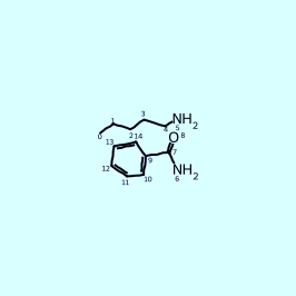 CCCCCN.NC(=O)c1ccccc1